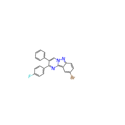 Fc1ccc(-c2nc3c4cc(Br)ccc4nn3cc2-c2ccccc2)cc1